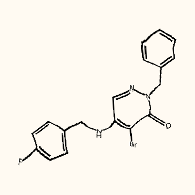 O=c1c(Br)c(NCc2ccc(F)cc2)cnn1Cc1ccccc1